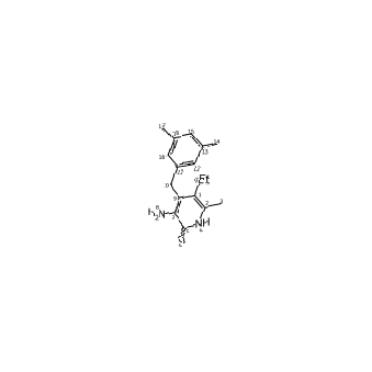 CCc1c(C)[nH]c(=O)c(N)c1Cc1cc(C)cc(C)c1